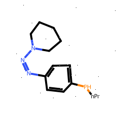 CCCPc1ccc(/N=N\N2CCCCC2)cc1